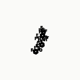 CCN(C(=O)c1cccc(F)c1F)c1cccc(C(=O)Nc2c(Br)cc(C(F)(C(F)(F)F)C(F)(F)F)cc2OC(F)F)c1OC